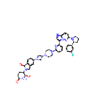 O=C1CCC(N2Cc3cc(N4CC(N5CCN(c6cccc(-c7cnc8ccc(N9CCCC9c9cccc(F)c9)nn78)n6)CC5)C4)ccc3C2=O)C(=O)N1